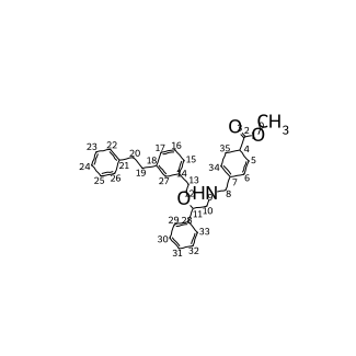 COC(=O)C1C=CC(CNCC(OCc2cccc(CCc3ccccc3)c2)c2ccccc2)=CC1